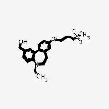 CCN1CCc2cc(OCCCS(C)(=O)=O)ccc2-c2cc(CO)ccc21